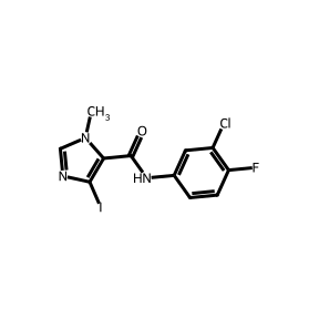 Cn1cnc(I)c1C(=O)Nc1ccc(F)c(Cl)c1